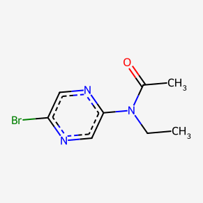 CCN(C(C)=O)c1cnc(Br)cn1